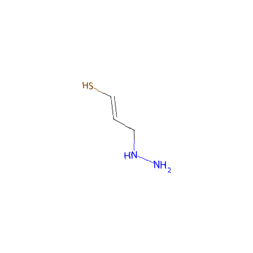 NNCC=CS